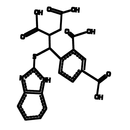 O=C(O)CC(C(=O)O)C(Sc1nc2ccccc2[nH]1)c1ccc(C(=O)O)cc1C(=O)O